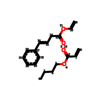 C=CC(=O)OCCCC.C=COC(=O)CC=Cc1ccccc1